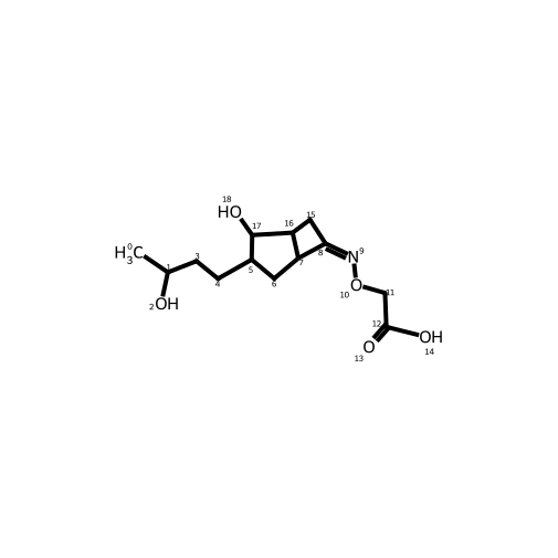 CC(O)CCC1CC2/C(=N\OCC(=O)O)CC2C1O